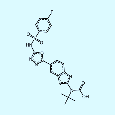 CC(C)(C)N(C(=O)O)c1nc2ccc(-c3nnc(NS(=O)(=O)c4ccc(F)cc4)o3)cc2s1